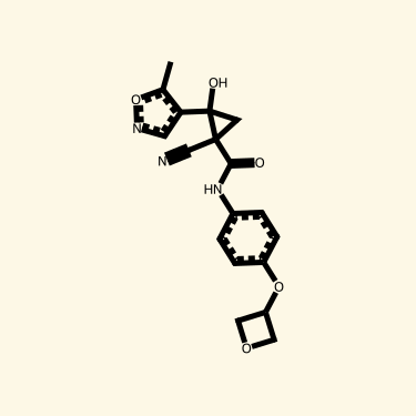 Cc1oncc1C1(O)CC1(C#N)C(=O)Nc1ccc(OC2COC2)cc1